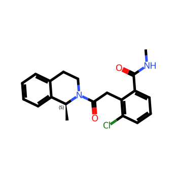 CNC(=O)c1cccc(Cl)c1CC(=O)N1CCc2ccccc2[C@@H]1C